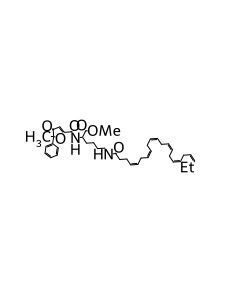 CC/C=C\C/C=C\C/C=C\C/C=C\C/C=C\C/C=C\CCC(=O)NCCCCC(NC(=O)C1=CC(=O)C(C)(c2ccccc2)O1)C(=O)OC